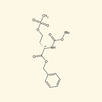 CC(C)(C)OC(=O)N[C@@H](CCOS(C)(=O)=O)C(=O)OCc1ccccc1